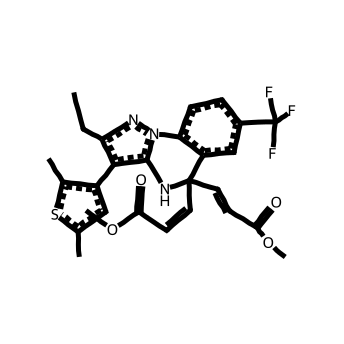 CCc1nn2c(c1-c1cc(C)sc1C)NC(/C=C\C(=O)OC)(/C=C/C(=O)OC)c1cc(C(F)(F)F)ccc1-2